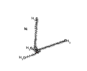 CCCCCCCCCCCCC#CC(=Nc1ccc(CCCCCCCCCCCCCCCCCCCCCCCCCCCCC)cc1)C(CCCCC)=Nc1ccc(CCCCCCCCCCCCCCCCCCCCCCCCCCCCC)cc1.[Ni]